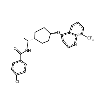 CC(NC(=O)c1ccc(Cl)cc1)[C@H]1CC[C@H](Oc2ccnc3c(C(F)(F)F)cccc23)CC1